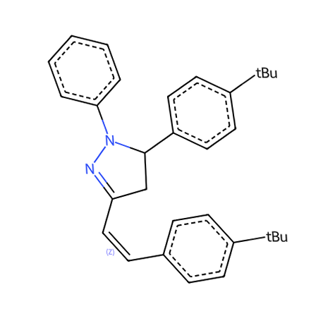 CC(C)(C)c1ccc(/C=C\C2=NN(c3ccccc3)C(c3ccc(C(C)(C)C)cc3)C2)cc1